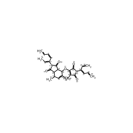 C=C/C=C\C(=C/C)N1C(=O)C2C(C)C=C(C)C(OC3=C(C)C(=O)N(/C(C=C)=C/C=C)C3=O)C2C1=O